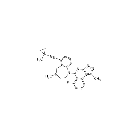 Cc1nnc2nc(N3CCN(C)Cc4c(C#CC5(C(F)(F)F)CC5)cccc43)c3c(F)cccc3n12